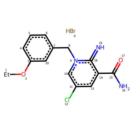 Br.CCOc1cccc(Cn2cc(Cl)cc(C(N)=O)c2=N)c1